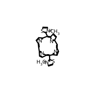 C[n+]1ccsc1C1=C2C=CC(=N2)C=C2C=CC(=N2)C(c2scc[n+]2C)=C2C=CC(=N2)C=C2C=CC1=N2